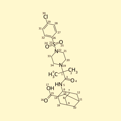 CC(C)(C(=O)NC1C2CC3CC(C2)CC1(C(=O)O)C3)N1CCN(S(=O)(=O)c2ccc(Cl)cc2)CC1